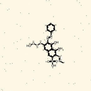 CN=Nc1c(S(=O)(=O)O)cc2cc(SOOO)c(N=Nc3ccccc3)c(O)c2c1N